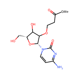 COC(=O)CCOC1C(O)[C@@H](CO)O[C@H]1n1ccc(N)nc1=O